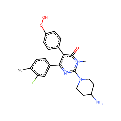 Cn1c(N2CCC(N)CC2)nc(-c2ccc(C#N)c(F)c2)c(-c2ccc(OO)cc2)c1=O